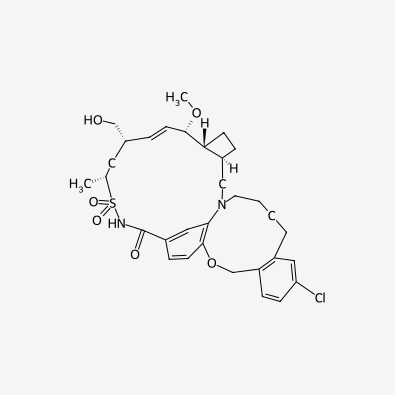 CO[C@H]1/C=C/[C@@H](CO)C[C@@H](C)S(=O)(=O)NC(=O)c2ccc3c(c2)N(CCCCc2cc(Cl)ccc2CO3)C[C@@H]2CC[C@H]21